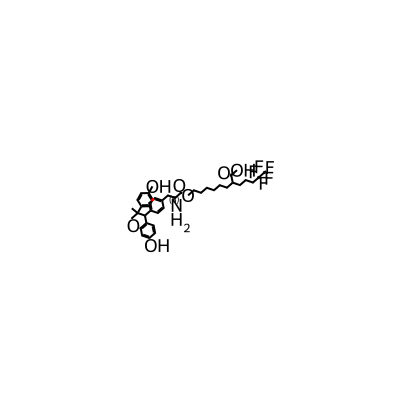 CC1(c2ccc(O)cc2)COc2cc(O)ccc2C1c1ccc(C[C@H](N)C(=O)OCCCCCCC(CCCC(F)(F)C(F)(F)F)C(=O)O)cc1